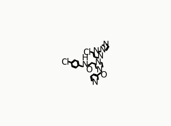 O=C(CC1CN(C(=O)c2cccnc2)CCN1c1cc(Cl)nc(-n2ccnc2)n1)NCc1ccc(Cl)cc1